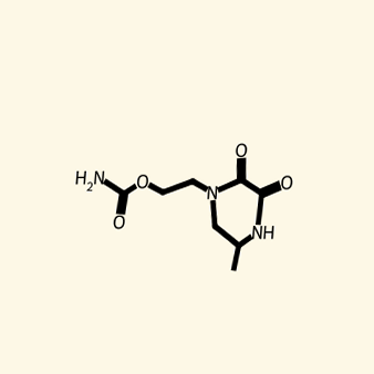 CC1CN(CCOC(N)=O)C(=O)C(=O)N1